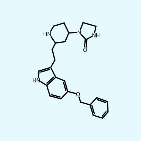 O=C1NCCN1C1CCNC(CCc2c[nH]c3ccc(OCc4ccccc4)cc23)C1